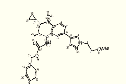 COCCn1cc(-c2ccc3c(c2)C(NC(=O)OCc2ccccc2)[C@@H](C)[C@H](C2CC2)N3C(C)=O)cn1